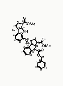 COC(=O)N1CC[C@]2(/N=N/c3cccc4c3NC3N(C(=O)OC)CC[C@]43C)c3ccccc3N(C(=O)OCc3ccccc3)C12